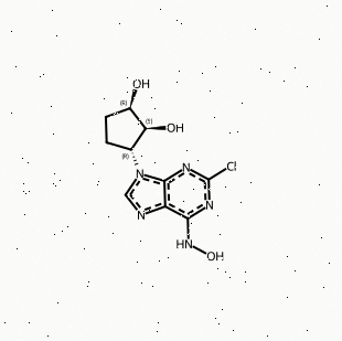 ONc1nc(Cl)nc2c1ncn2[C@@H]1CC[C@@H](O)[C@H]1O